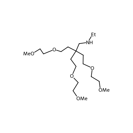 CCNCC(CCOCCOC)(CCOCCOC)CCOCCOC